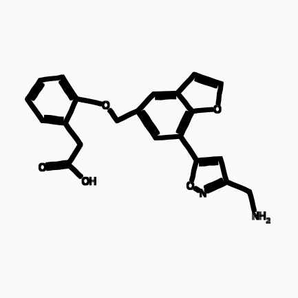 NCc1cc(-c2cc(COc3ccccc3CC(=O)O)cc3ccoc23)on1